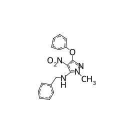 Cn1nc(Oc2ccccc2)c([N+](=O)[O-])c1NCc1ccccc1